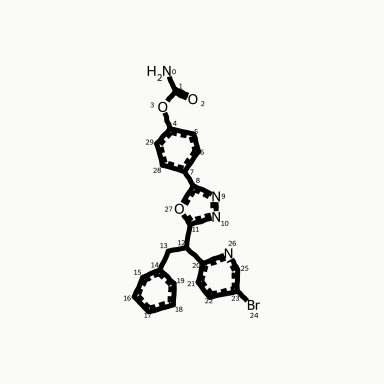 NC(=O)Oc1ccc(-c2nnc(C(Cc3ccccc3)c3ccc(Br)cn3)o2)cc1